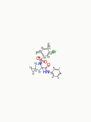 O=C(Nc1ccccc1)C1CC2(CC2)CN1S(=O)(=O)c1cc(Br)c(F)cc1F